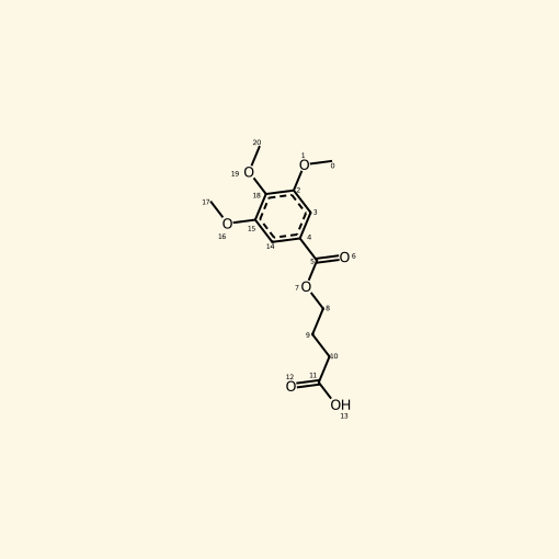 COc1cc(C(=O)OCCCC(=O)O)cc(OC)c1OC